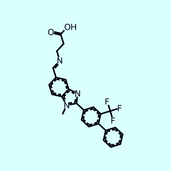 Cn1c(-c2ccc(-c3ccccc3)c(C(F)(F)F)c2)nc2cc(C=NCCC(=O)O)ccc21